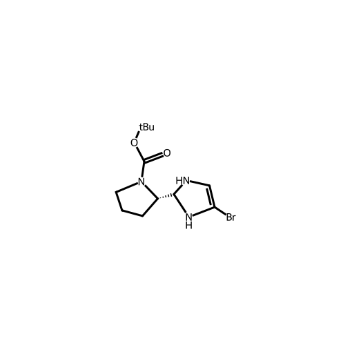 CC(C)(C)OC(=O)N1CCC[C@H]1C1NC=C(Br)N1